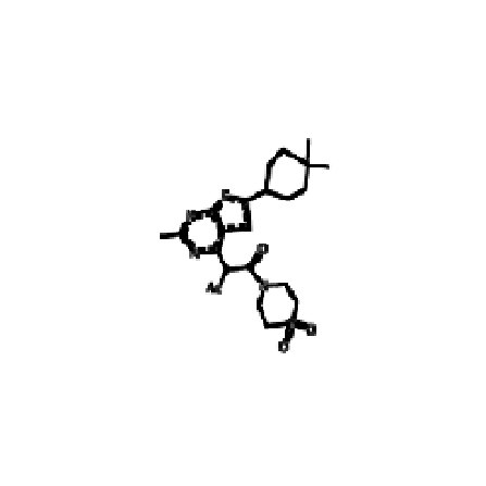 CC(=O)C(C(=O)N1CCS(=O)(=O)CC1)c1nc(C)nc2sc(C3CCC(C)(C)CC3)cc12